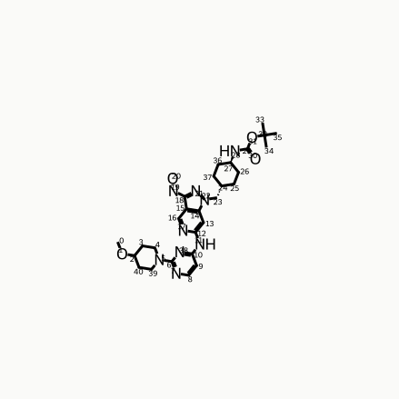 COC1CCN(c2nccc(Nc3cc4c(cn3)c(N=O)nn4C[C@H]3CC[C@H](NC(=O)OC(C)(C)C)CC3)n2)CC1